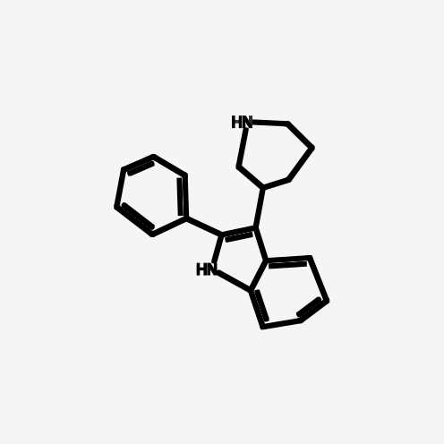 c1ccc(-c2[nH]c3ccccc3c2C2CCCNC2)cc1